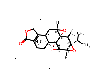 CC(C)[C@]12O[C@H]1[C@@H]1O[C@@]13[C@@]1(C)CCC4=C(COC4=O)C1C[C@@H]1O[C@@]13C2C